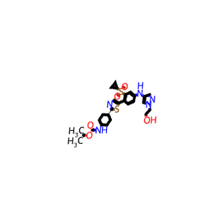 CC(C)OC(=O)N[C@H]1CC[C@H](c2ncc(-c3ccc(Nc4cnn(CCO)c4)cc3S(=O)(=O)C3CC3)s2)CC1